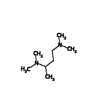 CC(CCN(C)C)N(C)C